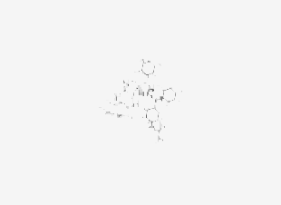 CC(C)Nc1nc2cc(C(=O)NN(Cc3ccccc3)C[C@@H](O)[C@H](Cc3ccccc3)NC(=O)OC3C4COC5OC[C@H]3CC54)ccc2o1